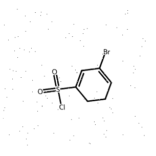 O=S(=O)(Cl)C1=CC(Br)=CCC1